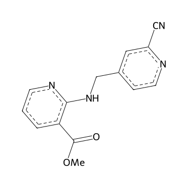 COC(=O)c1cccnc1NCc1ccnc(C#N)c1